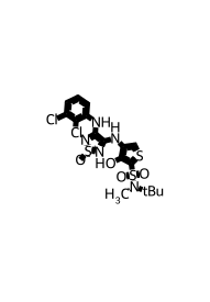 CN(C(C)(C)C)S(=O)(=O)c1scc(Nc2n[s+]([O-])nc2Nc2cccc(Cl)c2Cl)c1O